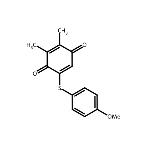 COc1ccc(SC2=CC(=O)C(C)=C(C)C2=O)cc1